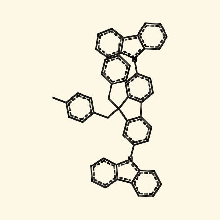 Cc1ccc(CC2(Cc3ccc(C)cc3)c3cc(-n4c5ccccc5c5ccccc54)ccc3-c3ccc(-n4c5ccccc5c5ccccc54)cc32)cc1